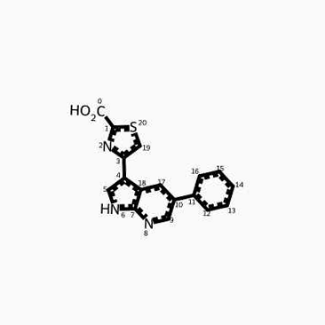 O=C(O)c1nc(-c2c[nH]c3ncc(-c4ccccc4)cc23)cs1